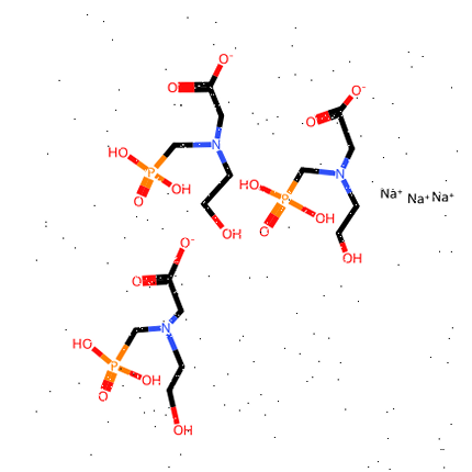 O=C([O-])CN(CCO)CP(=O)(O)O.O=C([O-])CN(CCO)CP(=O)(O)O.O=C([O-])CN(CCO)CP(=O)(O)O.[Na+].[Na+].[Na+]